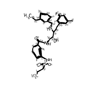 CCCS(=O)(=O)Nc1cccc(C(=O)NC[C@@H](O)C(Cc2cc(F)cc(F)c2)NCc2cccc(CC)c2)c1